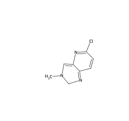 CN1C=c2nc(Cl)ccc2=NC1